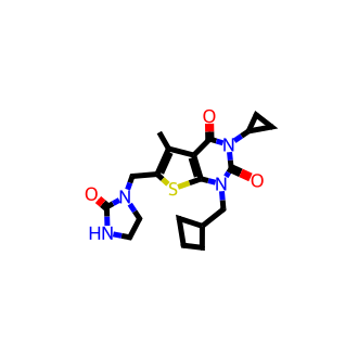 Cc1c(CN2CCNC2=O)sc2c1c(=O)n(C1CC1)c(=O)n2CC1CCC1